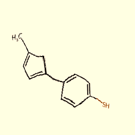 CC1=CC=C(c2ccc(S)cc2)C1